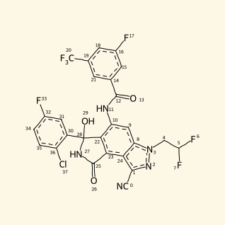 N#Cc1nn(CC(F)F)c2cc(NC(=O)c3cc(F)cc(C(F)(F)F)c3)c3c(c12)C(=O)NC3(O)c1cc(F)ccc1Cl